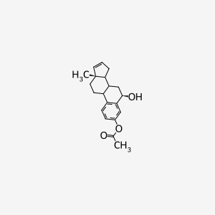 CC(=O)Oc1ccc2c(c1)[C@H](O)CC1C2CC[C@]2(C)C=CCC12